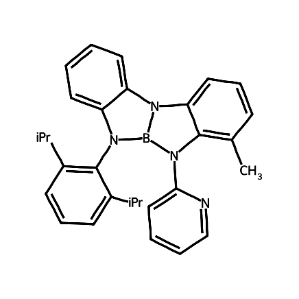 Cc1cccc2c1N(c1ccccn1)B1N2c2ccccc2N1c1c(C(C)C)cccc1C(C)C